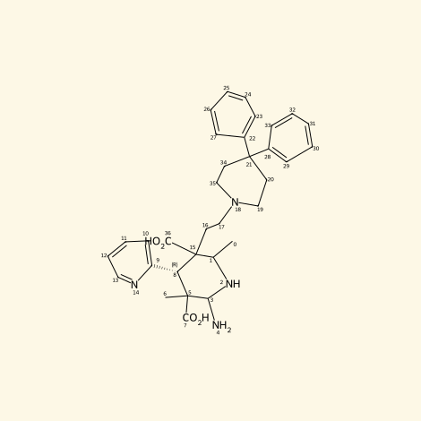 CC1NC(N)C(C)(C(=O)O)[C@H](c2ccccn2)C1(CCN1CCC(c2ccccc2)(c2ccccc2)CC1)C(=O)O